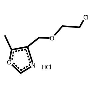 Cc1ocnc1COCCCl.Cl